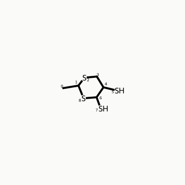 CC1SCC(S)C(S)S1